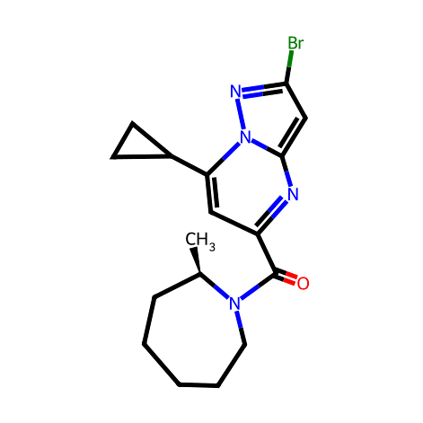 C[C@@H]1CCCCCN1C(=O)c1cc(C2CC2)n2nc(Br)cc2n1